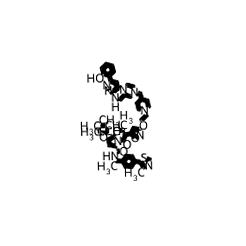 Cc1ncsc1-c1ccc([C@H](C)NC(=O)[C@@H]2C[C@@H](O[Si](C)(C)C(C)(C)C)CN2C(=O)[C@@H](c2cc(OCCN3CCC(CN4CCN5c6cc(-c7ccccc7O)nnc6NCC5C4)CC3)no2)C(C)C)cc1